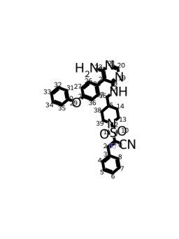 N#C/C(=C\c1ccccc1)S(=O)(=O)N1CCC(CNc2ncnc(N)c2-c2ccc(Oc3ccccc3)cc2)CC1